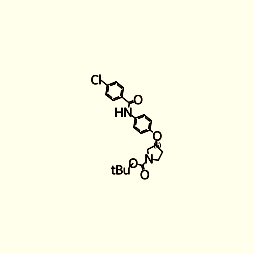 CC(C)(C)OC(=O)N1CC[C@H](Oc2ccc(NC(=O)c3ccc(Cl)cc3)cc2)C1